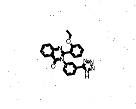 CCOc1ccccc1-c1nc2ccccc2c(=O)n1-c1cccc(-c2nnn[nH]2)c1